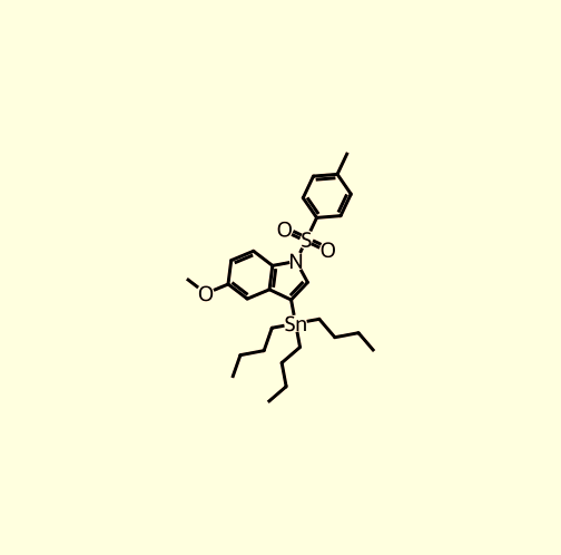 CCC[CH2][Sn]([CH2]CCC)([CH2]CCC)[c]1cn(S(=O)(=O)c2ccc(C)cc2)c2ccc(OC)cc12